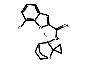 C=C(N[C@@H]1C2CCN(CC2)C12CC2)c1cc2cccc(Cl)c2o1